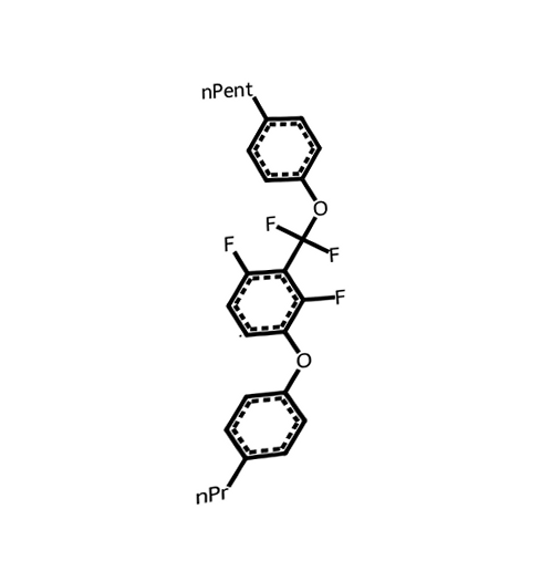 CCCCCc1ccc(OC(F)(F)c2c(F)c[c]c(Oc3ccc(CCC)cc3)c2F)cc1